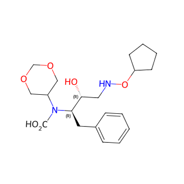 O=C(O)N(C1COCOC1)[C@H](Cc1ccccc1)[C@H](O)CNOC1CCCC1